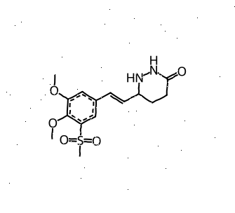 COc1cc(/C=C/C2CCC(=O)NN2)cc(S(C)(=O)=O)c1OC